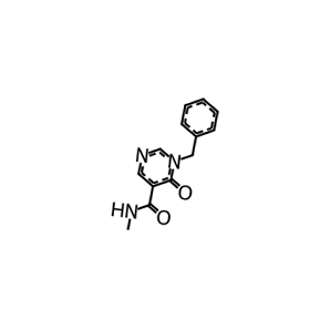 CNC(=O)c1cncn(Cc2ccccc2)c1=O